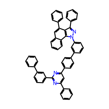 c1ccc(-c2cccc(-c3nc(-c4ccccc4)cc(-c4ccc(-c5cccc(-n6nc(-c7ccccc7)c7c(-c8ccccc8)cc8ccccc8c76)c5)cc4)n3)c2)cc1